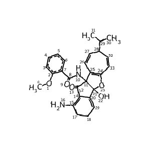 COc1ccccc1C(=O)NC12C(=O)C3=C(N)CCC=C3C1(O)OC1=C2C=CC(C(C)C)C=C1